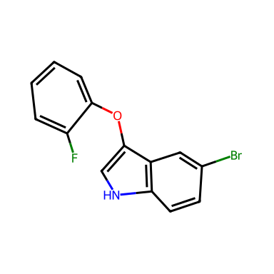 Fc1ccccc1Oc1c[nH]c2ccc(Br)cc12